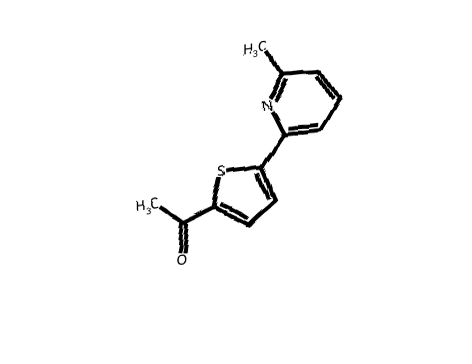 CC(=O)c1ccc(-c2cccc(C)n2)s1